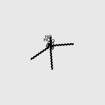 CCCCCCCCCCCCCCCC(=O)N(C(=O)CCCCCCCCCCCCCCC)C(CSC(=O)C(O)CO)(C(=O)O)C(=O)CCCCCCCCCCCCCCC